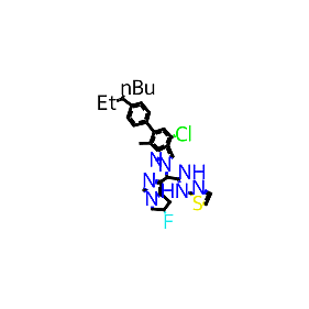 CCCCC(CC)c1ccc(-c2cc(Cl)c3cn(C(C(=N)Nc4nccs4)c4ncn5c4C[C@@H](F)C5)nc3c2C)cc1